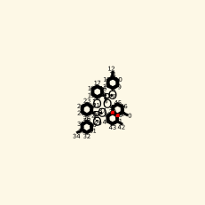 Cc1ccc(OP(Oc2ccc(C)cc2)c2ccccc2Oc2ccccc2P(Oc2ccc(C)cc2)Oc2ccc(C)cc2)cc1